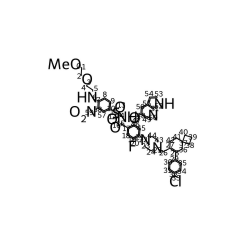 COCCOCCNc1ccc(S(=O)(=O)NC(=O)c2cc(F)c(N3CCN(CC4=C(c5ccc(Cl)cc5)CC5(CCC5)CC4)CC3)cc2Oc2cnc3[nH]ccc3c2)cc1[N+](=O)[O-]